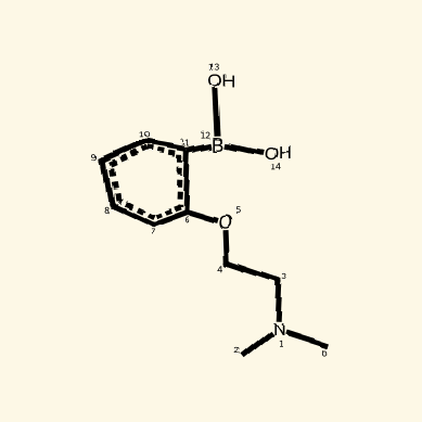 CN(C)CCOc1ccccc1B(O)O